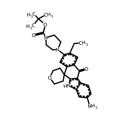 CCc1cc2c(cc1N1CCN(C(=O)OC(C)(C)C)CC1)C1(CCOCC1)c1[nH]c3cc(N)ccc3c1C2=O